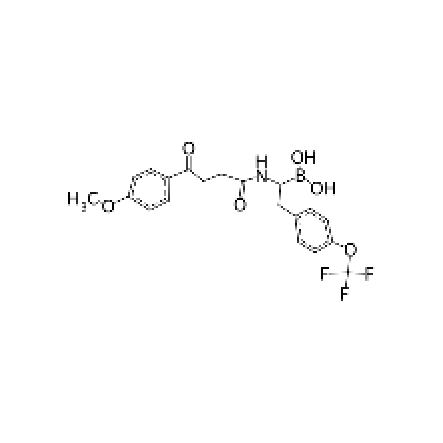 COc1ccc(C(=O)CCC(=O)NC(Cc2ccc(OC(F)(F)F)cc2)B(O)O)cc1